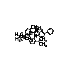 Cc1ccc(C(C)(C)C)cc1-c1n(-c2c(C(C)C)cccc2C(C)C)c2ccc(-c3ccccc3)cc2[n+]1C